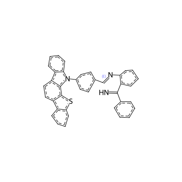 N=C(c1ccccc1)c1ccccc1/N=C/c1ccc(-n2c3ccccc3c3ccc4c5ccccc5sc4c32)cc1